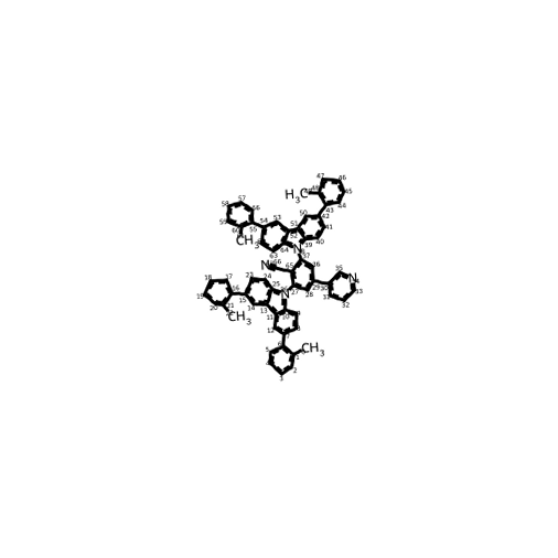 Cc1ccccc1-c1ccc2c(c1)c1cc(-c3ccccc3C)ccc1n2-c1cc(-c2cccnc2)cc(-n2c3ccc(-c4ccccc4C)cc3c3cc(-c4ccccc4C)ccc32)c1C#N